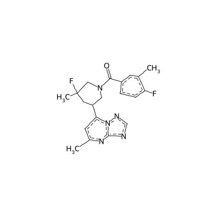 Cc1cc(C2CN(C(=O)c3ccc(F)c(C)c3)CC(C)(F)C2)n2ncnc2n1